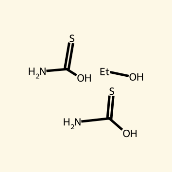 CCO.NC(O)=S.NC(O)=S